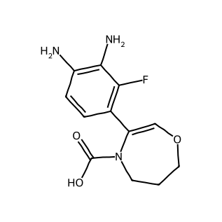 Nc1ccc(C2=COCCCN2C(=O)O)c(F)c1N